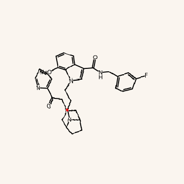 COc1cccc2c(C(=O)NCc3cccc(F)c3)cn(CCCN3C4CCC3CN(CC(=O)c3ccccn3)C4)c12